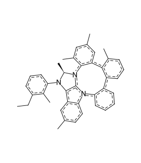 CCc1cccc(N2c3c4cc(C)ccc4n4c5ccccc5c5cccc(C)c5c5cc(C)cc(C)c5n(c34)[C@@H]2C)c1C